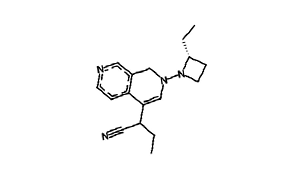 CCC(C#N)C1=CN(N2CC[C@H]2CC)Cc2cnccc21